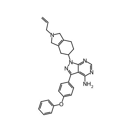 C=CCN1CC2=C(CC(n3nc(-c4ccc(Oc5ccccc5)cc4)c4c(N)ncnc43)CC2)C1